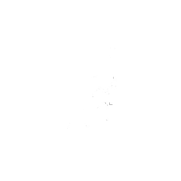 CC(=O)/C=C/c1ccc(NS(=O)(=O)c2ccc(C)cc2)cc1